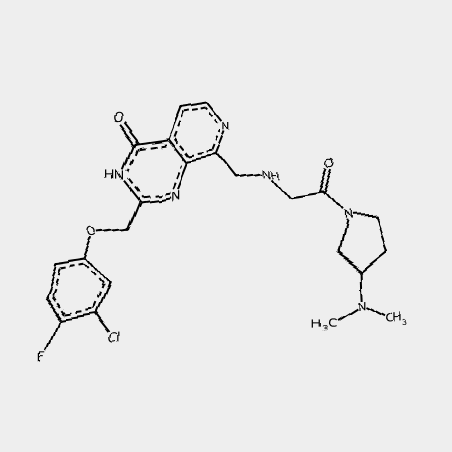 CN(C)C1CCN(C(=O)CNCc2nccc3c(=O)[nH]c(COc4ccc(F)c(Cl)c4)nc23)C1